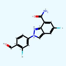 NC(=O)c1cc(F)cc2cn(-c3ccc(C=O)c(F)c3)nc12